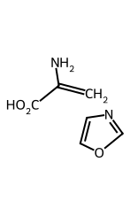 C=C(N)C(=O)O.c1cocn1